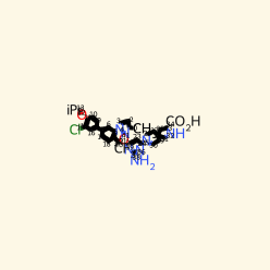 Cc1ccn(-c2cc(-c3ccc(OC(C)C)c(Cl)c3)ccc2[C@@H](Oc2cc(N3CCC4(CC3)CN[C@H](C(=O)O)C4)nc(N)n2)C(F)(F)F)n1